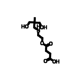 CC(CO)(CO)CNCCOC(=O)CCC(=O)O